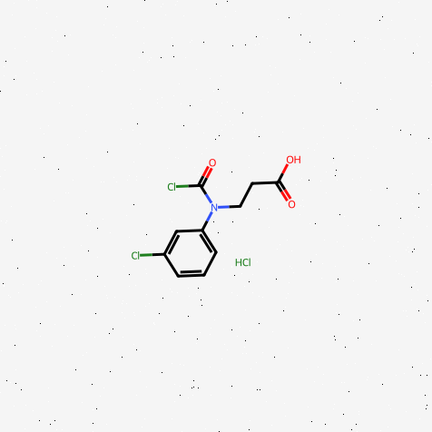 Cl.O=C(O)CCN(C(=O)Cl)c1cccc(Cl)c1